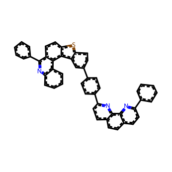 c1ccc(-c2ccc3ccc4ccc(-c5ccc(-c6ccc7sc8ccc9c(-c%10ccccc%10)nc%10ccccc%10c9c8c7c6)cc5)nc4c3n2)cc1